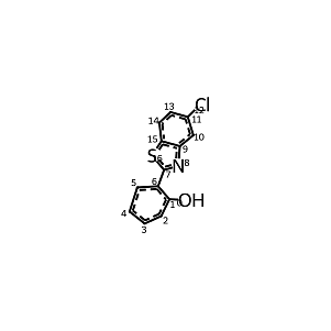 Oc1ccccc1-c1nc2cc(Cl)ccc2s1